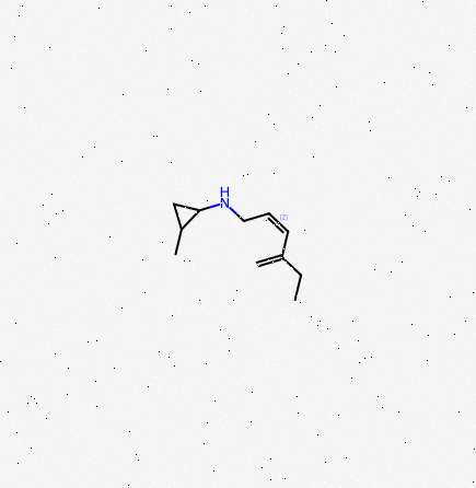 C=C(/C=C\CNC1CC1C)CC